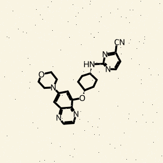 N#Cc1ccnc(N[C@H]2CC[C@@H](Oc3cc(N4CCOCC4)cc4nccnc34)CC2)n1